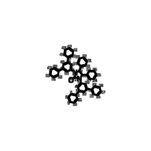 O=C1N(c2cc(-c3ccccc3)cc(-c3ccccc3)c2)C(c2ccccc2)C(c2ccccc2)N1c1cc(-c2ccccc2)cc(-c2ccccc2)c1